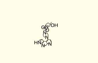 CC1(O)CCN(S(=O)(=O)CN2CCN(c3ccnc4cnc5[nH]ccc5c34)CC2)C1